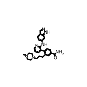 CN1CCN(CCCc2cc(C(N)=O)ccc2-c2cccnc2Nc2ccc3cn[nH]c3c2)CC1